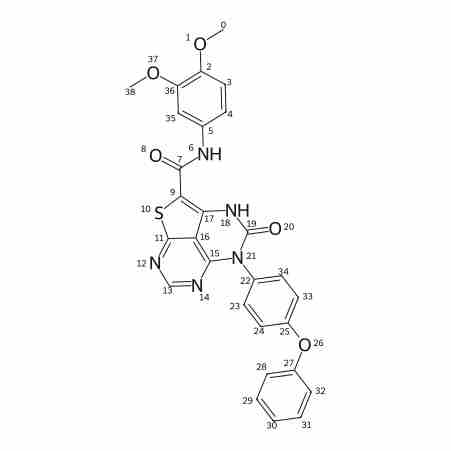 COc1ccc(NC(=O)c2sc3ncnc4c3c2NC(=O)N4c2ccc(Oc3ccccc3)cc2)cc1OC